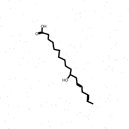 CC=CCC=CCC(O)CCCCCCCCCC(=O)O